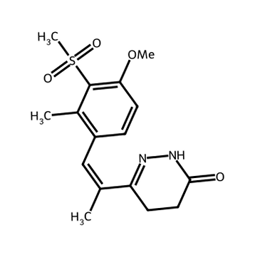 COc1ccc(C=C(C)C2=NNC(=O)CC2)c(C)c1S(C)(=O)=O